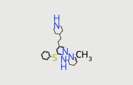 CC1=CCCC(Nc2ncc(CCC3CCNCC3)cc2Sc2ccccc2)=N1